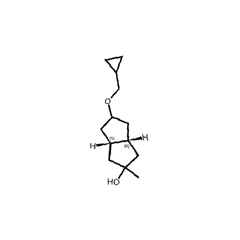 CC1(O)C[C@H]2CC(OCC3CC3)C[C@H]2C1